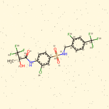 C[C@@](O)(C(=O)Nc1ccc(S(=O)(=O)NCc2ccc(C(F)(F)F)cc2F)cc1Cl)C(F)(F)F